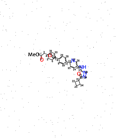 COC(=O)CC12CCC(c3ccc(-c4ccc(Nc5nnc(C6CCC6)o5)cn4)cc3)(CC1)CO2